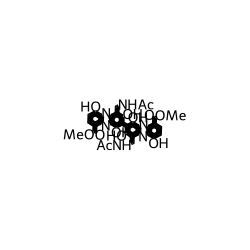 COC(=O)c1ccc(O)c2nc3c(CNC(C)=O)c(O)c(-c4c(O)c(CNC(C)=O)c5nc6c(O)ccc(C(=O)OC)c6nc5c4O)c(O)c3nc12